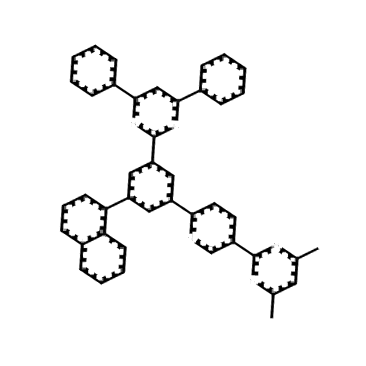 Cc1cc(C)nc(-c2ccc(-c3cc(-c4nc(-c5ccccc5)cc(-c5ccccc5)n4)cc(-c4cccc5ccccc45)c3)nc2)n1